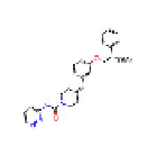 COC(COc1cccc(C=C2CCN(C(=O)Nc3cccnn3)CC2)c1)c1ccccc1